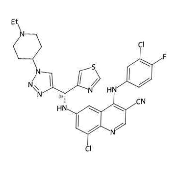 CCN1CCC(n2cc([C@@H](Nc3cc(Cl)c4ncc(C#N)c(Nc5ccc(F)c(Cl)c5)c4c3)c3cscn3)nn2)CC1